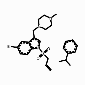 C=CCS(=O)(=O)n1cc(CN2CCN(C)CC2)c2cc(Br)ccc21.CC(C)c1ccccc1